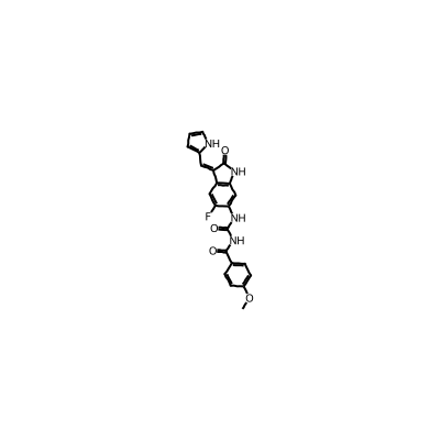 COc1ccc(C(=O)NC(=O)Nc2cc3c(cc2F)/C(=C/c2ccc[nH]2)C(=O)N3)cc1